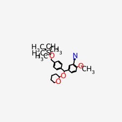 COc1ccc(C(OC2CCCCO2)c2ccc(CO[Si](C)(C)C(C)(C)C)cc2)cc1C#N